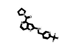 O=C(c1nccc2sc(NCc3ccc(C(F)(F)F)nc3)cc12)N1CCCC1